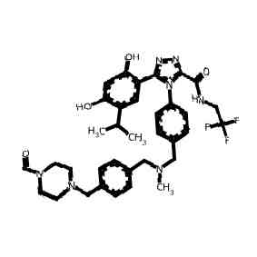 CC(C)c1cc(-c2nnc(C(=O)NCC(F)(F)F)n2-c2ccc(CN(C)Cc3ccc(CN4CCN(C=O)CC4)cc3)cc2)c(O)cc1O